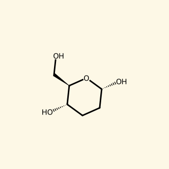 OC[C@H]1O[C@H](O)CC[C@@H]1O